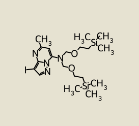 Cc1cc(N(COCC[Si](C)(C)C)COCC[Si](C)(C)C)n2ncc(I)c2n1